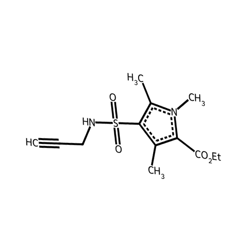 C#CCNS(=O)(=O)c1c(C)c(C(=O)OCC)n(C)c1C